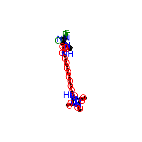 COc1ccccc1N(C)C(=O)c1cc(-c2cnc(C(F)(F)F)cc2C#N)c(Cl)cc1OCCCC(=O)NCCOCCOCCOCCOCCOCCOCCOCCOCCNC(=O)CN1CCN(CC(=O)OC(C)(C)C)CCN(CC(=O)OC(C)(C)C)CCN(CC(=O)OC(C)(C)C)CC1